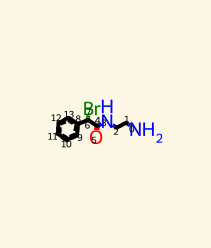 NCCNC(=O)C(Br)c1ccccc1